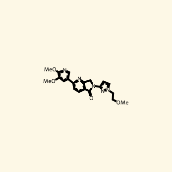 COCCn1ccc(N2Cc3nc(-c4cnc(OC)c(OC)c4)ccc3C2=O)n1